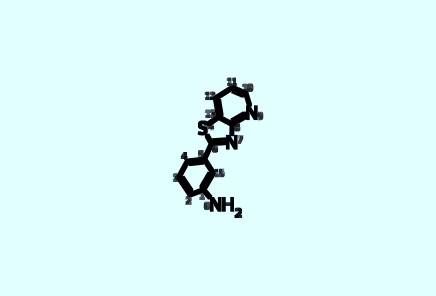 Nc1cccc(-c2nc3ncccc3s2)c1